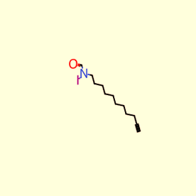 C#CCCCCCCCCCN(I)C=O